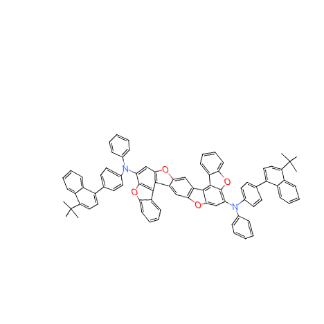 CC(C)(C)c1ccc(-c2ccc(N(c3ccccc3)c3cc4oc5cc6c(cc5c4c4c3oc3ccccc34)oc3cc(N(c4ccccc4)c4ccc(-c5ccc(C(C)(C)C)c7ccccc57)cc4)c4oc5ccccc5c4c36)cc2)c2ccccc12